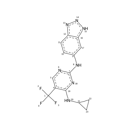 FC(F)(F)c1cnc(Nc2ccc3nn[nH]c3c2)nc1NC1CC1